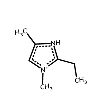 CCc1[nH]c(C)c[n+]1C